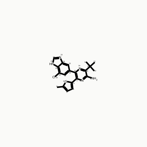 Cc1ccc(-c2nc(N)c(C(C)(C)C)nc2-c2cc(Cl)c3[nH]cnc3c2)s1